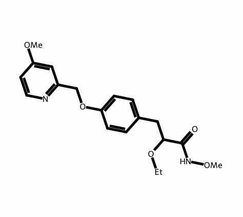 CCOC(Cc1ccc(OCc2cc(OC)ccn2)cc1)C(=O)NOC